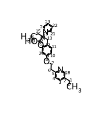 CCc1ccc(CCOc2ccc(C[C@](CC)(C(=O)O)n3cccc3)cc2)nc1